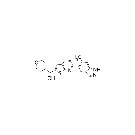 Cc1cc2[nH]ncc2cc1-c1ccc2cc([C@H](O)C3CCOCC3)sc2n1